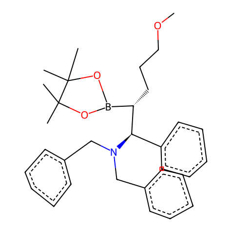 COCCC[C@@H](B1OC(C)(C)C(C)(C)O1)[C@@H](c1ccccc1)N(Cc1ccccc1)Cc1ccccc1